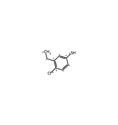 CCc1cc(S)ccc1Cl